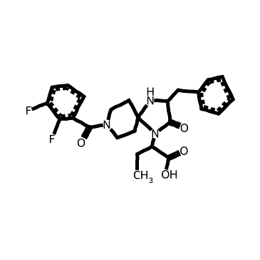 CCC(C(=O)O)N1C(=O)C(Cc2ccccc2)NC12CCN(C(=O)c1cccc(F)c1F)CC2